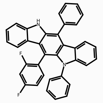 Fc1ccc(-c2c3c([nH]c4ccccc43)c(-c3ccccc3)c3c4ccccc4n(-c4ccccc4)c23)c(F)c1